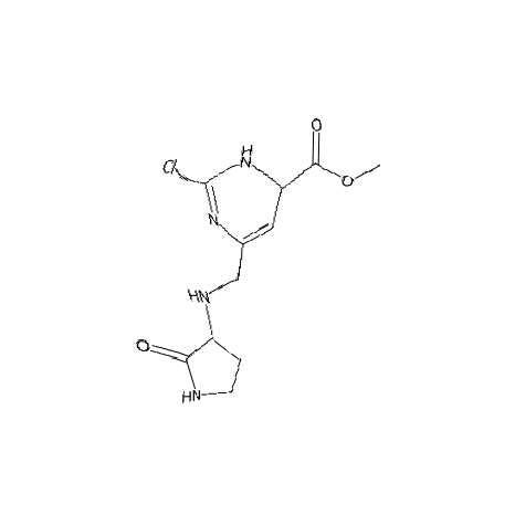 COC(=O)C1C=C(CNC2CCNC2=O)N=C(Cl)N1